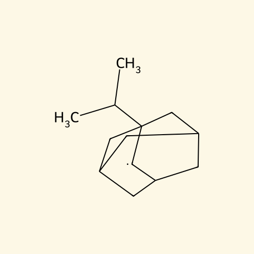 CC(C)C12[CH]C3CC(CC(C3)C1)C2